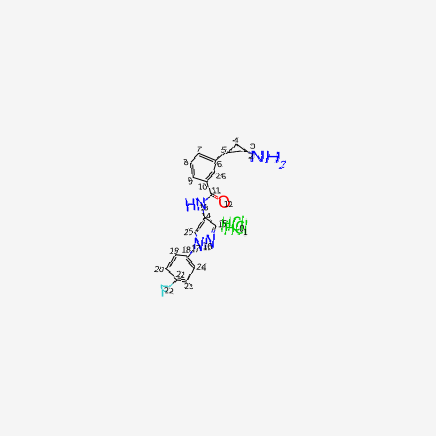 Cl.Cl.NC1CC1c1cccc(C(=O)Nc2cnn(-c3ccc(F)cc3)c2)c1